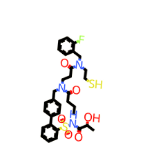 CCCC(=O)N(CCC(=O)N(CCS)Cc1ccccc1F)Cc1ccc(-c2ccccc2S(=O)(=O)NC(=O)C(C)O)cc1